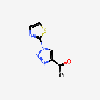 CC(C)C(=O)c1cn(-c2nccs2)nn1